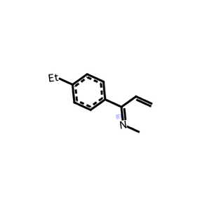 C=C/C(=N\C)c1ccc(CC)cc1